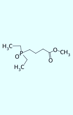 CCP(=O)(CC)CCCC(=O)OC